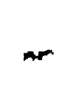 COc1cc2c(CCc3ccc(NC(=O)C4(C(=O)Nc5ccc(F)cc5)CC4)cc3F)ccnc2cc1OCC1CCN(C)CC1